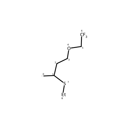 [CH2]C(CCOCC(F)(F)F)SCC